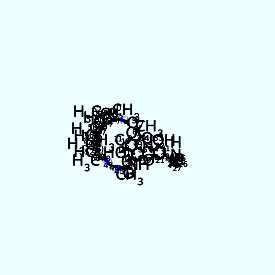 CO[C@H]1/C=C/OC2(C)Oc3c(C)c(O)c4c(=O)c(c5oc6cc(N7CC8CCC7CN8)cc(O)c6nc-5c4c3C2=O)NC(=O)/C(C)=C\C=C\[C@H](C)[C@H](O)[C@@H](C)[C@@H](O)[C@@H](C)[C@H](OC(C)=O)[C@@H]1C